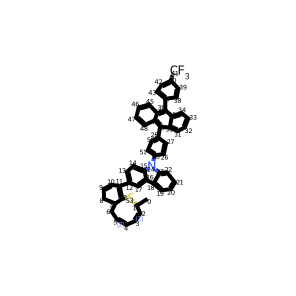 CC1/C=C\C=C/CC2CC=CC(c3ccc4c(c3)c3ccccc3n4-c3ccc(-c4c5ccccc5c(-c5ccc(C(F)(F)F)cc5)c5ccccc45)cc3)=C2S1